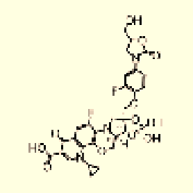 O=C(O)c1cn(C2CC2)c2c3c(c(F)cc2c1=O)N1C[C@@](COc2ccc(N4CC(CO)OC4=O)cc2F)(OP(=O)(O)O)C[C@H]1CO3